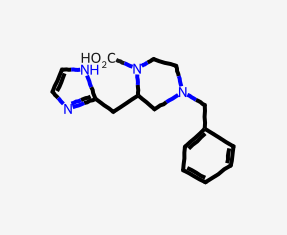 O=C(O)N1CCN(Cc2ccccc2)CC1Cc1ncc[nH]1